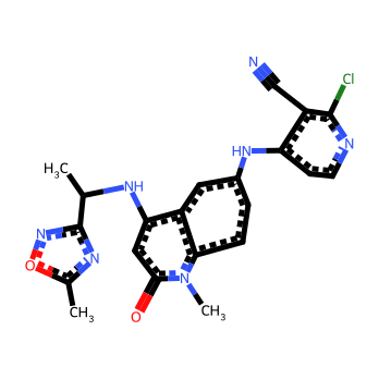 Cc1nc(C(C)Nc2cc(=O)n(C)c3ccc(Nc4ccnc(Cl)c4C#N)cc23)no1